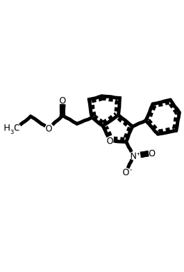 CCOC(=O)Cc1cccc2c(-c3ccccc3)c([N+](=O)[O-])oc12